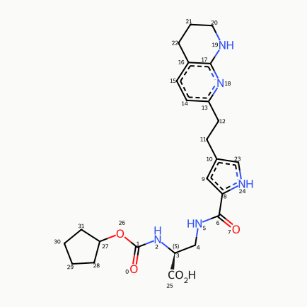 O=C(N[C@@H](CNC(=O)c1cc(CCc2ccc3c(n2)NCCC3)c[nH]1)C(=O)O)OC1CCCC1